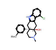 COc1cccc([C@@]23CCN(C)C[C@@]2(O)Cc2c([nH]c4cccc(Cl)c24)C3)c1